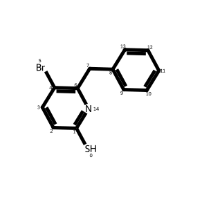 Sc1ccc(Br)c(Cc2ccccc2)n1